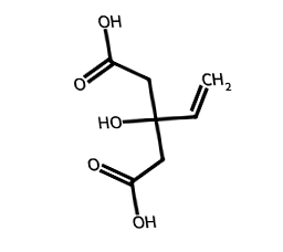 C=CC(O)(CC(=O)O)CC(=O)O